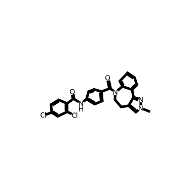 Cn1cc2c(n1)-c1ccccc1N(C(=O)c1ccc(NC(=O)c3ccc(Cl)cc3Cl)cc1)CC2